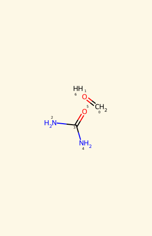 C=O.NC(N)=O.[HH]